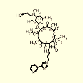 C#CCCN(C)[C@H]1C[C@@H](C)O[C@@H](O[C@@H]2[C@@H](I)C(=O)[C@@H](C)C(=O)O[C@H](CC)[C@@]3(C)OC(=O)N(CCCCn4cnc(-c5cccnc5)c4)C3[C@@H](C)C(=O)[C@H](C)C[C@@]2(C)OC)[C@@H]1O